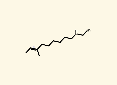 C/C=C(\C)CCCCCCNCC(C)C